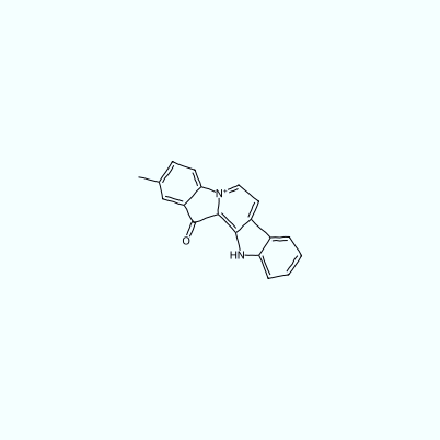 Cc1ccc2c(c1)C(=O)c1c3[nH]c4ccccc4c3cc[n+]1-2